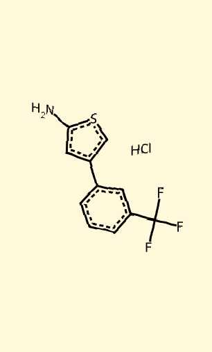 Cl.Nc1cc(-c2cccc(C(F)(F)F)c2)cs1